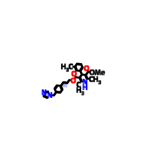 COC(=O)C1=C(C)NC(C)=C(C(=O)OC/C=C/c2ccc(Cn3ccnc3)cc2)C1c1cccc(C)c1